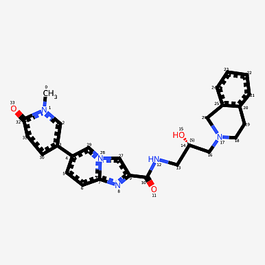 Cn1cc(-c2ccc3nc(C(=O)NC[C@H](O)CN4CCc5ccccc5C4)cn3c2)ccc1=O